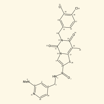 CNc1cc(CNC(=O)c2cn3c(=O)n(Cc4ccc(Cl)c(Cl)c4)c(=O)c(C)c3s2)ccn1